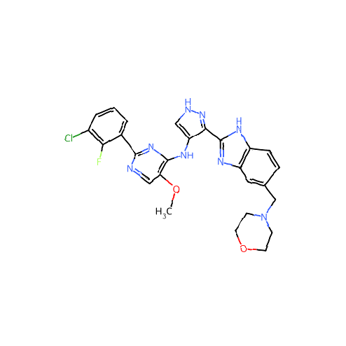 COc1cnc(-c2cccc(Cl)c2F)nc1Nc1c[nH]nc1-c1nc2cc(CN3CCOCC3)ccc2[nH]1